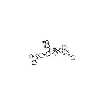 CC(C)c1ccccc1[C@@H]1CCCN1C1CC2(CCN(c3ccc(C(=O)NS(=O)(=O)c4cc(N)c5c(c4)OCC(C)(COC4CCCCC4)N5)c(Oc4cnc5[nH]ccc5c4)c3)CC2)C1